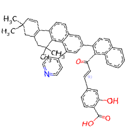 CC1(C)C=CC2=C(C1)CC(C)(C)c1c2ccc2cc(-c3ccc4ccccc4c3C(=O)/C=C/c3ccc(C(=O)O)c(O)c3)cc(-c3ccncc3)c12